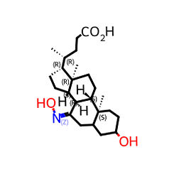 C[C@H](CCC(=O)O)[C@H]1CC[C@H]2[C@@H]3/C(=N\O)CC4CC(O)CC[C@]4(C)[C@H]3CC[C@]12C